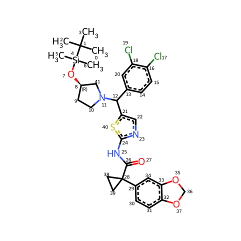 CC(C)(C)[Si](C)(C)O[C@@H]1CCN(C(c2ccc(Cl)c(Cl)c2)c2cnc(NC(=O)C3(c4ccc5c(c4)OCO5)CC3)s2)C1